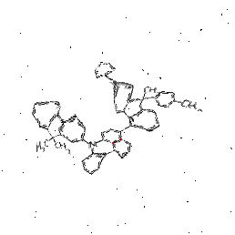 Cc1ccc(C2(C)c3cc(-c4ccccc4)ccc3-c3c(-c4ccc(N(c5ccc6c(c5)C(C)(C)c5ccccc5-6)c5ccccc5-c5ccccc5)cc4)cccc32)cc1